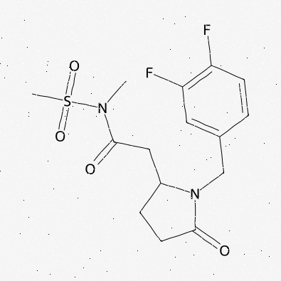 CN(C(=O)CC1CCC(=O)N1Cc1ccc(F)c(F)c1)S(C)(=O)=O